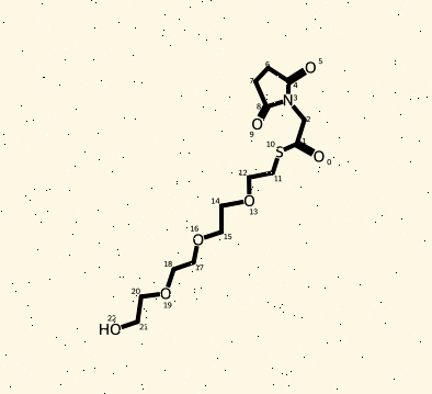 O=C(CN1C(=O)CCC1=O)SCCOCCOCCOCCO